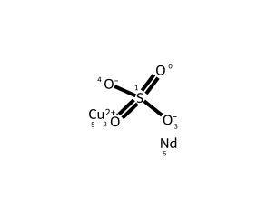 O=S(=O)([O-])[O-].[Cu+2].[Nd]